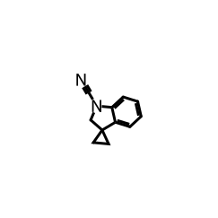 N#CN1CC2(CC2)c2ccccc21